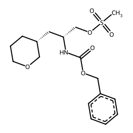 CS(=O)(=O)OC[C@@H](C[C@H]1CCCOC1)NC(=O)OCc1ccccc1